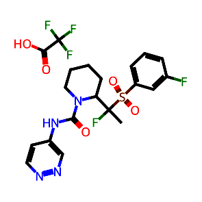 CC(F)(C1CCCCN1C(=O)Nc1ccnnc1)S(=O)(=O)c1cccc(F)c1.O=C(O)C(F)(F)F